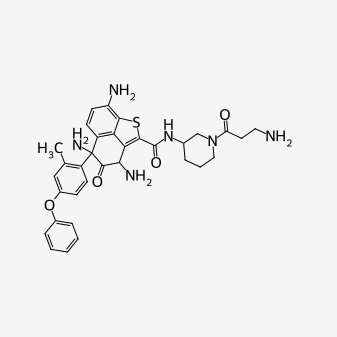 Cc1cc(Oc2ccccc2)ccc1C1(N)C(=O)C(N)c2c(C(=O)NC3CCCN(C(=O)CCN)C3)sc3c(N)ccc1c23